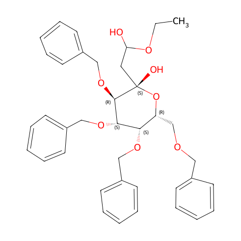 CCOC(O)C[C@]1(O)O[C@H](COCc2ccccc2)[C@H](OCc2ccccc2)[C@H](OCc2ccccc2)[C@H]1OCc1ccccc1